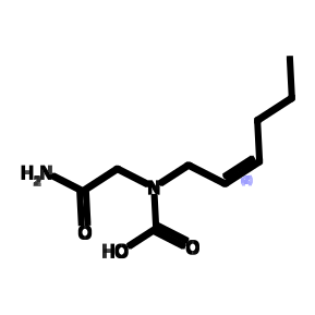 CCC/C=C\CN(CC(N)=O)C(=O)O